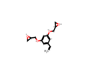 C=Cc1cc(OCC2CO2)cc(OCC2CO2)c1